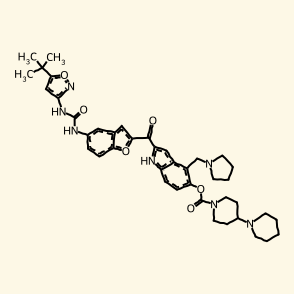 CC(C)(C)c1cc(NC(=O)Nc2ccc3oc(C(=O)c4cc5c(CN6CCCC6)c(OC(=O)N6CCC(N7CCCCC7)CC6)ccc5[nH]4)cc3c2)no1